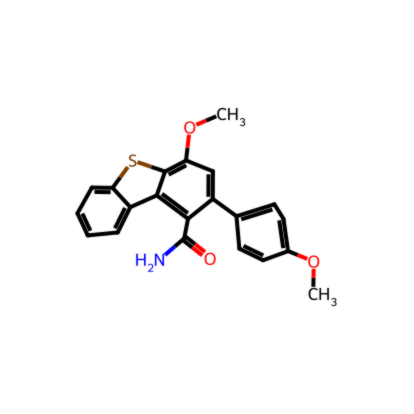 COc1ccc(-c2cc(OC)c3sc4ccccc4c3c2C(N)=O)cc1